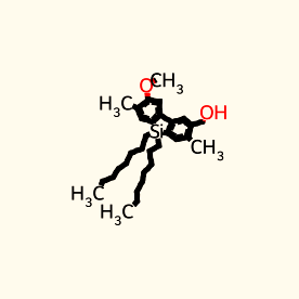 CCCCCCCC[Si]1(CCCCCCCC)c2cc(C)c(CO)cc2-c2cc(OC)c(C)cc21